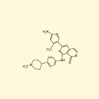 Cc1cc(N)ncc1-c1cc2c(c(Nc3ccc(C4CCN(C)CC4)cc3)n1)C(=O)[N]C=C2